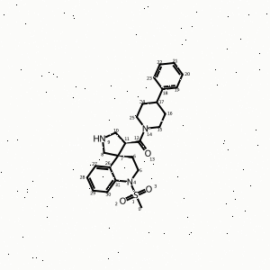 CS(=O)(=O)N1CC[C@]2(CNC[C@H]2C(=O)N2CCC(c3ccccc3)CC2)c2ccccc21